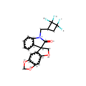 O=C1N(CC2CC(F)(F)C2(F)F)c2ccccc2C12COc1cc3c(cc12)OCO3